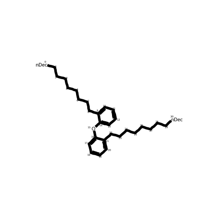 CCCCCCCCCCCCCCCCCCc1ccccc1Oc1ccccc1CCCCCCCCCCCCCCCCCC